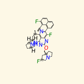 C#Cc1c(F)ccc2cccc(-c3nc4c5c(nc(OC[C@@]67CCCN6C[C@H](F)C7)nc5c3F)N3C[C@H]5CC[C@H](N5)[C@@H]3C[C@H]4C)c12